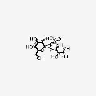 CC[C@@H](O)[C@@H](O)[C@H](CO[C@H]1OC(CO)[C@H](O)C(O)C1O)NS(=O)(=O)CC